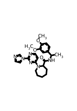 COc1ccc(C(C)NC(=O)C2CCCCCN2c2ccnc(-n3ccnc3)n2)cc1OC